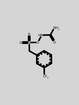 NC(=O)NOS(=O)(=O)Cc1cccc(C(F)(F)F)c1